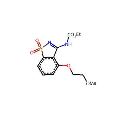 CCOC(=O)NC1=NS(=O)(=O)c2cccc(OCCOC)c21